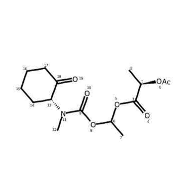 CC(=O)O[C@H](C)C(=O)OC(C)OC(=O)N(C)[C@@H]1CCCCC1=O